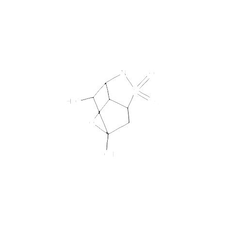 CC1C2NS(=O)(=O)C3CC1(C)OC23